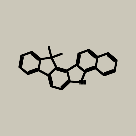 CC1(C)c2ccccc2-c2ccc3[nH]c4c5ccccc5ccc4c3c21